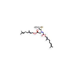 Br.CCCCCCCCCCCCN(CC(=O)OC/C=C(\C)CCC=C(C)C)CC(=O)OC/C=C(\C)CCC=C(C)C